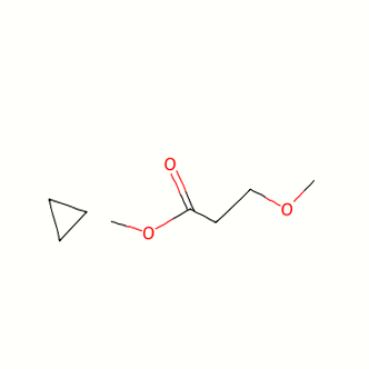 C1CC1.COCCC(=O)OC